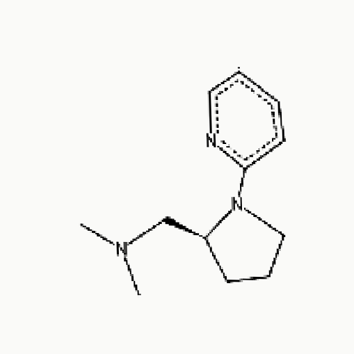 CN(C)C[C@@H]1CCCN1c1cc[c]cn1